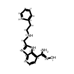 N/C(=N\O)c1ccnc2nc(CNCCc3ccccn3)[nH]c12